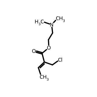 CC=C(CCl)C(=O)OCCN(C)C